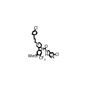 COc1cc2c3c(n(C(=O)NCc4ccnc(Cl)c4)c2cc1C(F)(F)F)CCN(C/C=C/c1ccc(Cl)cc1)C3